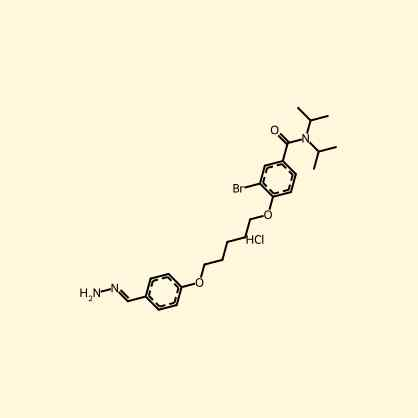 CC(C)N(C(=O)c1ccc(OCCCCCOc2ccc(C=NN)cc2)c(Br)c1)C(C)C.Cl